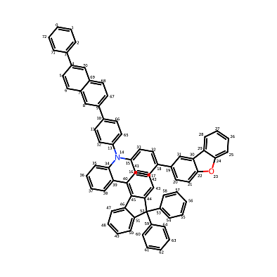 c1ccc(-c2ccc3cc(-c4ccc(N(c5ccc(-c6ccc7oc8ccccc8c7c6)cc5)c5ccccc5-c5cccc6c5-c5ccccc5C6(c5ccccc5)c5ccccc5)cc4)ccc3c2)cc1